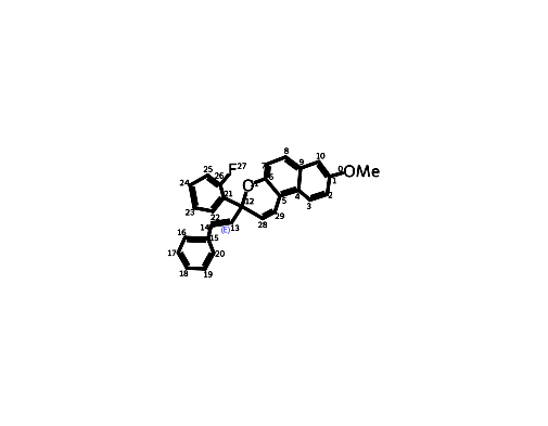 COc1ccc2c3c(ccc2c1)OC(/C=C/c1ccccc1)(c1ccccc1F)C=C3